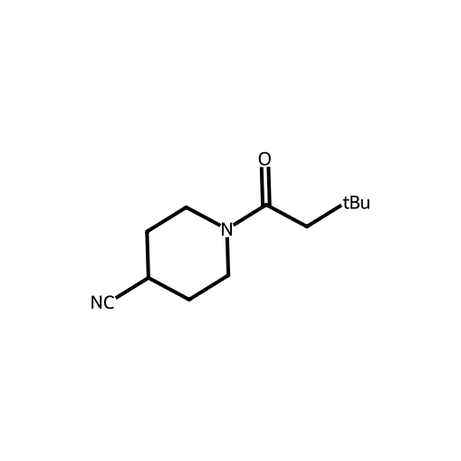 CC(C)(C)CC(=O)N1CCC(C#N)CC1